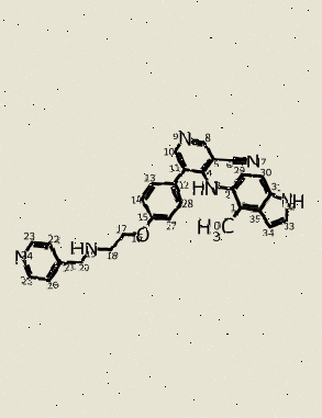 Cc1c(Nc2c(C#N)cncc2-c2ccc(OCCNCc3ccncc3)cc2)ccc2[nH]ccc12